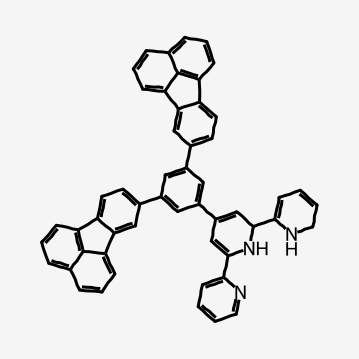 C1=CCNC(C2C=C(c3cc(-c4ccc5c(c4)-c4cccc6cccc-5c46)cc(-c4ccc5c(c4)-c4cccc6cccc-5c46)c3)C=C(c3ccccn3)N2)=C1